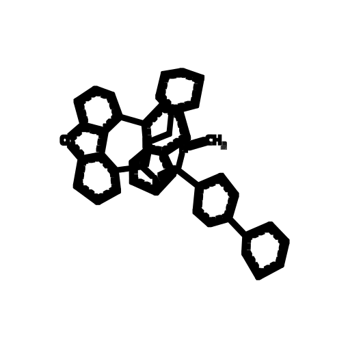 C=N/C(=N\C(=N/Cc1ccccc1)c1cccc2oc3cccc(-c4cccc5ccccc45)c3c12)c1ccc(-c2ccccc2)cc1